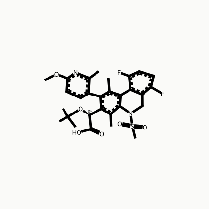 COc1ccc(-c2c(C)c3c(c(C)c2[C@H](OC(C)(C)C)C(=O)O)N(S(C)(=O)=O)Cc2c(F)ccc(F)c2-3)c(C)n1